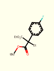 CCOC(=O)C(CC)(C(=O)OC(C)(C)C)c1ccc(F)cc1